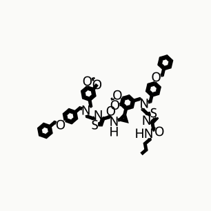 CCCCNC(=O)c1csc(CN(Cc2ccc(OCc3ccccc3)cc2)Cc2cc3c(c(C4CC4NC(=O)c4csc(CN(Cc5ccc(OCc6ccccc6)cc5)Cc5ccc6c(c5)OCO6)n4)c2)OCO3)n1